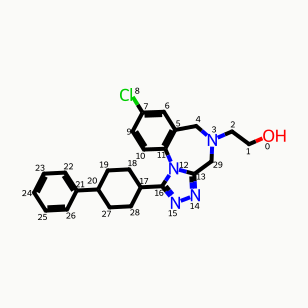 OCCN1Cc2cc(Cl)ccc2-n2c(nnc2C2CCC(c3ccccc3)CC2)C1